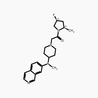 C[C@@H]1C[C@H](F)CN1C(=O)CN1CCC(N(C)c2ccc3ccncc3c2)CC1